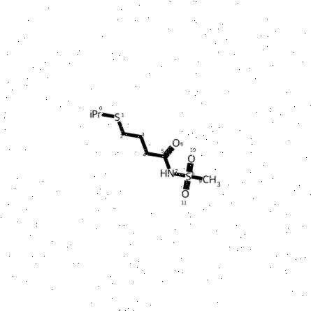 CC(C)SCCCC(=O)NS(C)(=O)=O